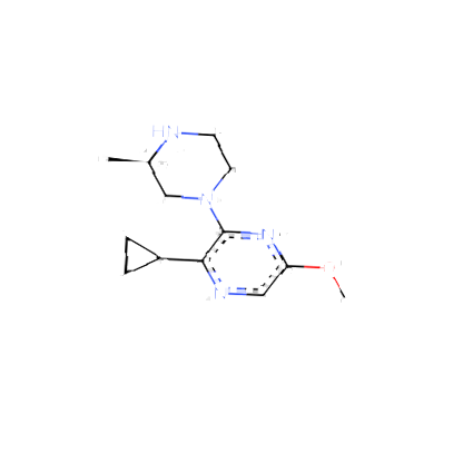 COc1cnc(C2CC2)c(N2CCN[C@H](C)C2)n1